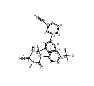 CN1C(=N)N[C@](C)(c2ccnc(-c3cccc(C#N)c3)c2)[C@@H](c2ccc(C(C)(C)C)cc2)C1=O